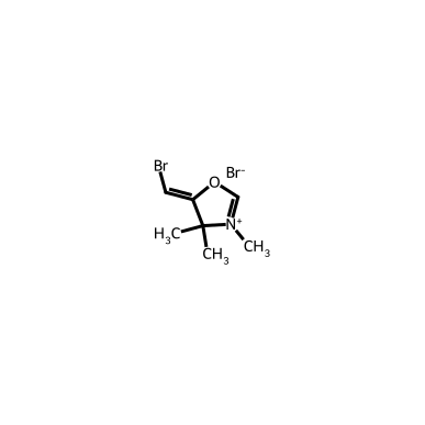 C[N+]1=COC(=CBr)C1(C)C.[Br-]